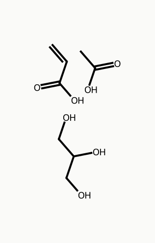 C=CC(=O)O.CC(=O)O.OCC(O)CO